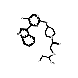 CC(CO)NCC(=O)N1CCC(Nc2ncc(Cl)c(-c3c[nH]c4ccccc34)n2)CC1